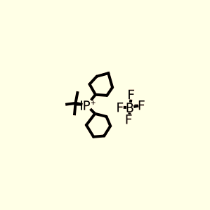 CC(C)(C)[PH+](C1CCCCC1)C1CCCCC1.F[B-](F)(F)F